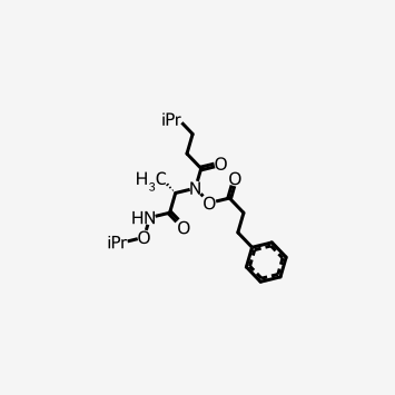 CC(C)CCC(=O)N(OC(=O)CCc1ccccc1)[C@@H](C)C(=O)NOC(C)C